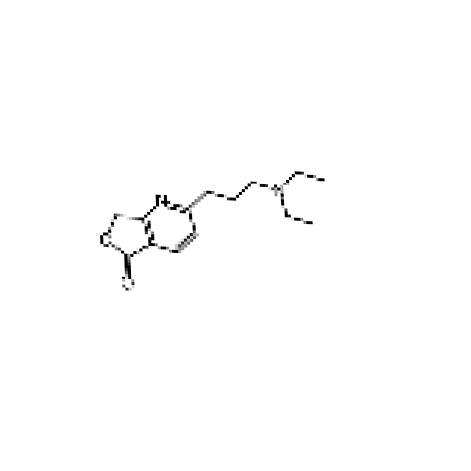 CCN(CC)CCCc1ccc2c(n1)COC2=O